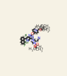 CC(C)(C)OC(=O)N1CCN(c2nc(OCC34CCCN3C(CO[Si](C)(C)C(C)(C)C)CC4)nc3c(F)c(-c4cccc5ccc(F)c(Cl)c45)ncc23)C[C@@H]1CC#N